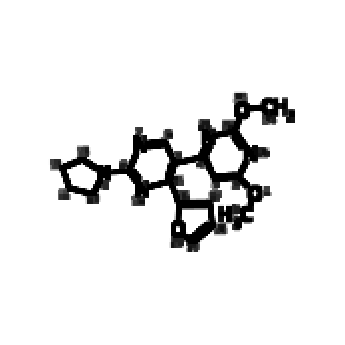 COc1cc(-c2cnc(N3CCCC3)nc2-c2ccco2)nc(OC)n1